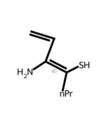 C=C/C(N)=C(\S)CCC